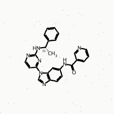 C[C@H](Nc1nccc(-n2cnc3ccc(NC(=O)c4cccnc4)cc32)n1)c1ccccc1